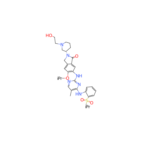 Cc1cnc(Nc2cc3c(cc2OC(C)C)CN([C@H]2CCCN(CCO)C2)C3=O)nc1Nc1ccccc1S(=O)(=O)C(C)C